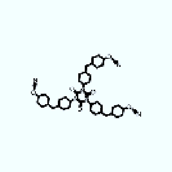 N#COC1CCC(CC2CCC(n3c(=O)n(C4CCC(CC5CCC(OC#N)CC5)CC4)c(=O)n(C4CCC(CC5CCC(OC#N)CC5)CC4)c3=O)CC2)CC1